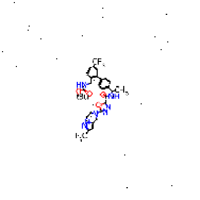 C[C@@H](NC(=O)c1nnc(N2CCn3nc(C(F)(F)F)cc3C2)o1)c1ccc(-c2cc(C(F)(F)F)ccc2CNC(=O)OC(C)(C)C)cc1